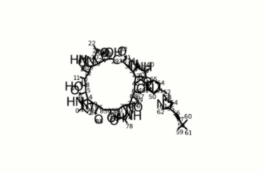 CC(C)CC1C(C=O)C(O)C(C)C(C=O)C(C)(N=N)C(CC(C)C)C(C=O)C(O)CC(C=O)C(C)(N=N)C(CC(C)C)C(C=O)C(O)(Cc2ccc(Cn3cc(C#CC(C)(C)C)cn3)cc2)C(C)C(C=O)C(C)(N=N)C(CC(C)C)C(C=O)C(O)CC(C=O)C1(C)N=N